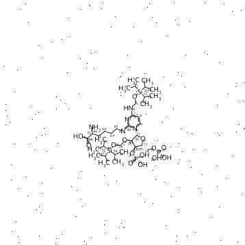 CC(C)[Si](OCNc1ccn([C@@H]2O[C@H](COP(=O)(O)O)[C@@H](OP(=O)(O)O)[C@H]2OCO[Si](C(C)C)(C(C)C)C(C)C)c(=NCCCC[C@H](N)C(=O)O)n1)(C(C)C)C(C)C